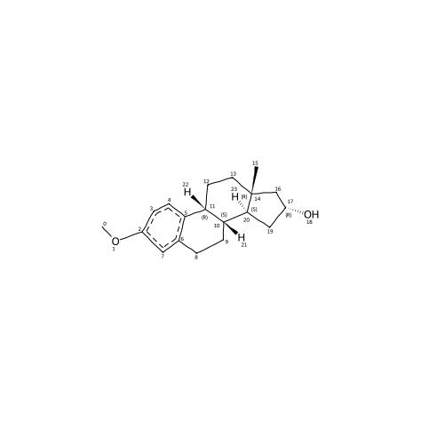 COc1ccc2c(c1)CC[C@@H]1[C@H]2CC[C@]2(C)C[C@H](O)C[C@@H]12